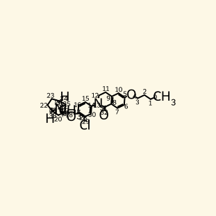 CCCCOc1ccc2c(c1)CCN(c1ccc(O[C@@H]3C[C@H]4CC[C@@H](C3)N4C)c(Cl)c1)C2=O